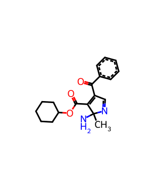 CC1(N)N=CC(C(=O)c2ccccc2)=C1C(=O)OC1CCCCC1